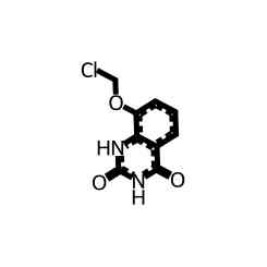 O=c1[nH]c(=O)c2cccc(OCCl)c2[nH]1